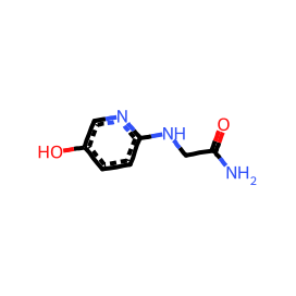 NC(=O)CNc1ccc(O)cn1